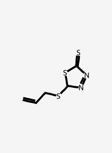 C=CCSC1N=NC(=S)S1